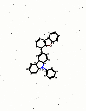 C1=CC2SC3=C(C=CCC3C3=CC4C5C=CC=CC5N(c5ccccc5)C4C=C3)C2C=C1